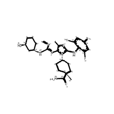 C=N/C(=N\c1c(C)nc(Nc2c(F)cc(F)cc2F)n1[C@H]1CC[C@@](C)(C(N)=O)CC1)N[C@@H]1CCC[C@H](O)C1